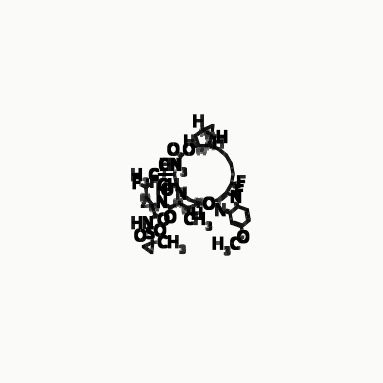 COc1ccc2nc3c(nc2c1)O[C@H]1CN(C(=O)C(C(C)(C)C)NC(=O)O[C@@H]2C[C@@H]4C[C@@H]4[C@H]2CCCCC3(F)F)[C@H](C(=O)N[C@]2(C(=O)NS(=O)(=O)C3(C)CC3)C[C@H]2C(F)F)[C@@H]1C